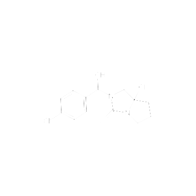 CC(c1ccc(Cl)cc1)N1CC2(C)CCCN2C1=O